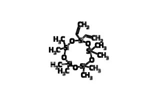 C=C[Si]1(C=C)O[Si](C)(C)O[Si](C)(C)O[Si](C)(C)O[Si](C)(C)O1